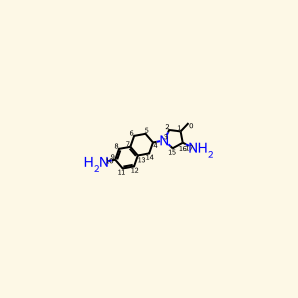 CC1CN(C2CCc3cc(N)ccc3C2)CC1N